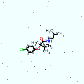 CC(C)CCNC(=O)C(C)(Oc1ccc(Cl)cc1)C(C)C